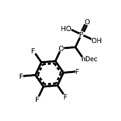 CCCCCCCCCCC(Oc1c(F)c(F)c(F)c(F)c1F)P(=O)(O)O